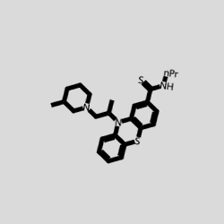 CCCNC(=S)c1ccc2c(c1)N(C(C)CN1CCCC(C)C1)c1ccccc1S2